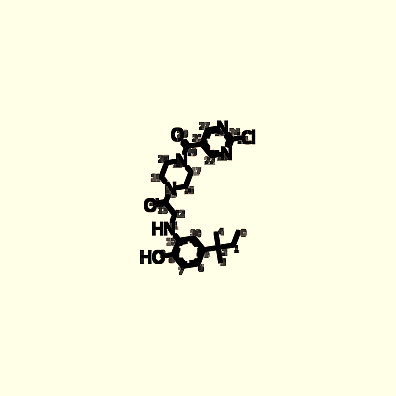 CCC(C)(C)c1ccc(O)c(NCC(=O)N2CCN(C(=O)c3cnc(Cl)nc3)CC2)c1